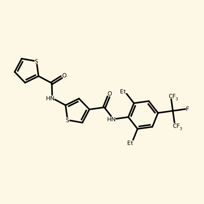 CCc1cc(C(F)(C(F)(F)F)C(F)(F)F)cc(CC)c1NC(=O)c1csc(NC(=O)c2cccs2)c1